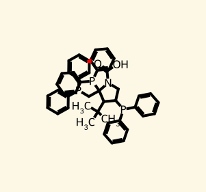 CC(C)(C)C1C(P(c2ccccc2)c2ccccc2)CN(C(=O)O)C1(CP(c1ccccc1)c1ccccc1)P(c1ccccc1)c1ccccc1